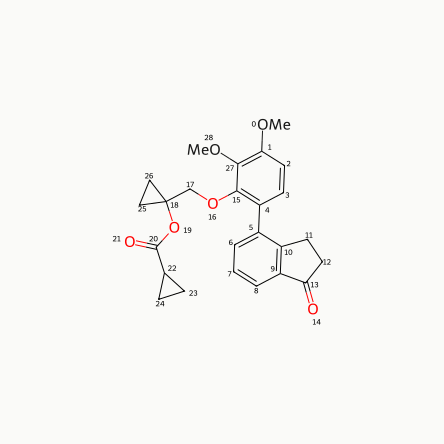 COc1ccc(-c2cccc3c2CCC3=O)c(OCC2(OC(=O)C3CC3)CC2)c1OC